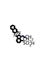 C=C/C=C1/c2nc3cc4ccccc4cc3nc2-c2cccc(C(C)S(=O)(=O)O)c21